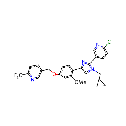 COc1cc(OCc2ccc(C(F)(F)F)nc2)ccc1-c1nc(-c2ccc(Cl)nc2)n(CC2CC2)c1C